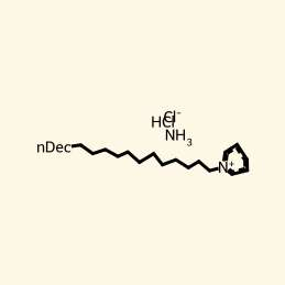 CCCCCCCCCCCCCCCCCCCCCC[n+]1ccccc1.Cl.N.[Cl-]